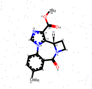 COc1ccc2c(c1)C(=O)N1CC[C@H]1c1c(C(=O)OC(C)(C)C)ncn1-2